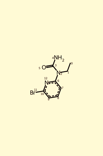 CCN(C(N)=O)c1cccc(Br)n1